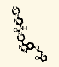 O=C1CCCN1CCOc1ccc2c(C3CCN(C(=O)Nc4ccc(N5CCOCC5)nc4)CC3)ncnc2c1